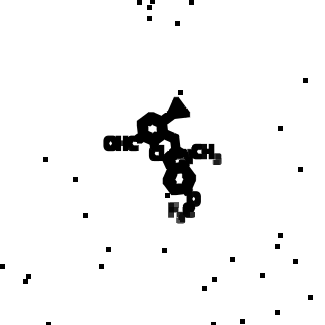 Cn1c(Cc2c(C3CC3)ccc(C=O)c2Cl)cc2ccc(OC(F)(F)F)cc21